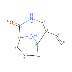 C=CC1CNC(=O)C2CCCC1N2